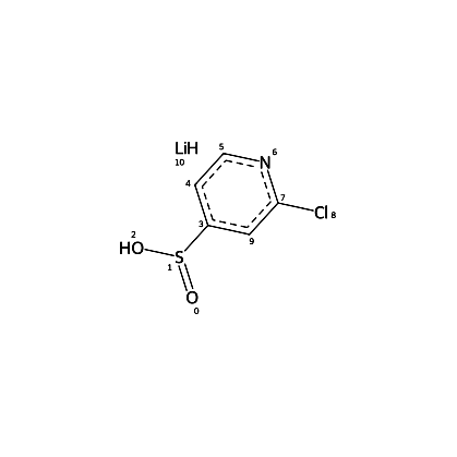 O=S(O)c1ccnc(Cl)c1.[LiH]